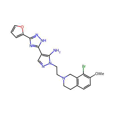 COc1ccc2c(c1Br)CN(CCn1ncc(-c3nc(-c4ccco4)n[nH]3)c1N)CC2